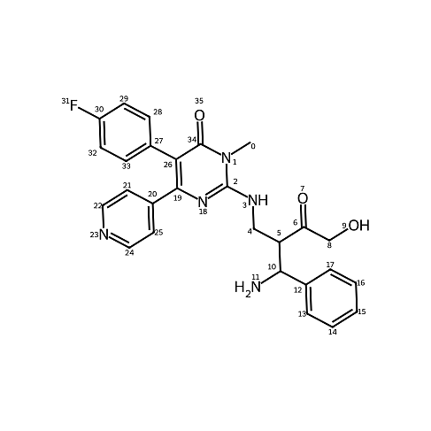 Cn1c(NCC(C(=O)CO)C(N)c2ccccc2)nc(-c2ccncc2)c(-c2ccc(F)cc2)c1=O